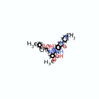 COc1ccc(NC[C@@H](O)COc2ccc(C)cc2C)c(-c2nc3cc4c(cc3[nH]2)C(=O)N(C2CCN(C)CC2)C4)c1O